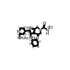 CCNC(=O)N1CC(=O)c2c([nH]c(-c3ccnc(NC(C)=O)c3)c2Nc2ccccc2)C1